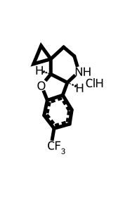 Cl.FC(F)(F)c1ccc2c(c1)O[C@@H]1[C@H]2NCCC12CC2